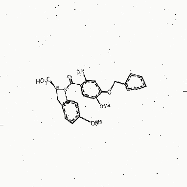 COc1ccc2c(c1)N(C(=O)c1cc(OC)c(OCc3ccccc3)cc1[N+](=O)[O-])[C@H](C(=O)O)C2